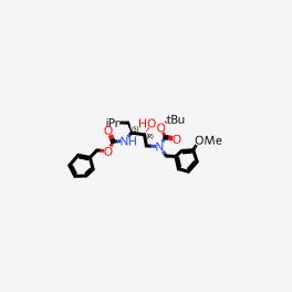 COc1cccc(CN(C[C@@H](O)[C@H](CC(C)C)NC(=O)OCc2ccccc2)C(=O)OC(C)(C)C)c1